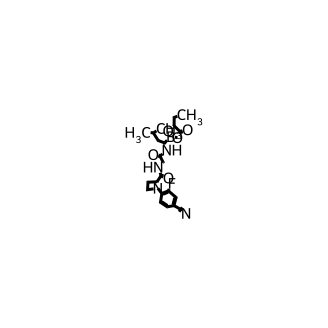 CCC1OB(C(CC(C)C)NC(=O)CNC(=O)C2CCN2c2ccc(C#N)cc2F)OC1=O